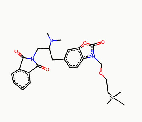 CN(C)C(Cc1ccc2c(c1)oc(=O)n2COCC[Si](C)(C)C)CN1C(=O)c2ccccc2C1=O